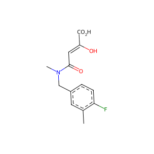 Cc1cc(CN(C)C(=O)C=C(O)C(=O)O)ccc1F